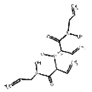 C=CCN(O)C(=O)C(C=C)[S+]([O-])[C@@H](C=C)C(=O)N(O)CC=C